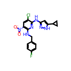 O=[N+]([O-])c1cc(Cl)c(Nc2cc(C3CC3)[nH]n2)nc1NCc1ccc(F)cc1